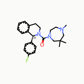 CN1CCN(C(=O)N2CCc3ccccc3[C@@H]2c2ccc(F)cc2)CC(C)(C)C1